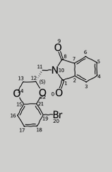 O=C1c2ccccc2C(=O)N1C[C@H]1COc2cccc(Br)c2O1